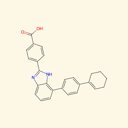 O=C(O)c1ccc(-c2nc3cccc(-c4ccc(C5=CCCCC5)cc4)c3[nH]2)cc1